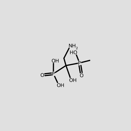 CP(=O)(O)C(O)(CN)P(=O)(O)O